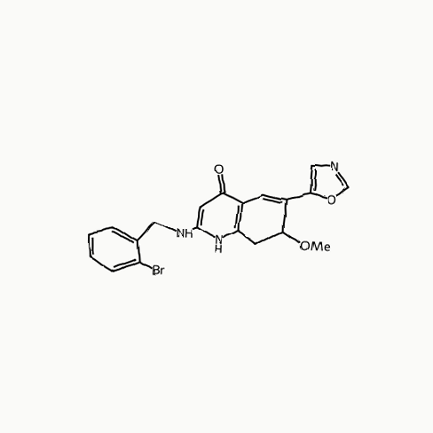 COC1Cc2[nH]c(NCc3ccccc3Br)cc(=O)c2C=C1c1cnco1